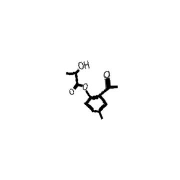 CC(=O)c1cc(C)ccc1OC(=O)C(C)O